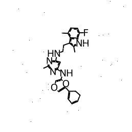 Cc1nc(NCCc2c(C)[nH]c3c(F)ccc(C)c23)cc(NC2=COC=C(C3=CC=CCC3)O2)n1